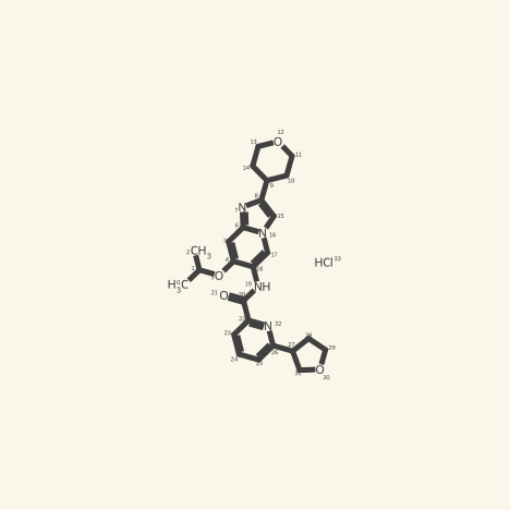 CC(C)Oc1cc2nc(C3CCOCC3)cn2cc1NC(=O)c1cccc(C2CCOC2)n1.Cl